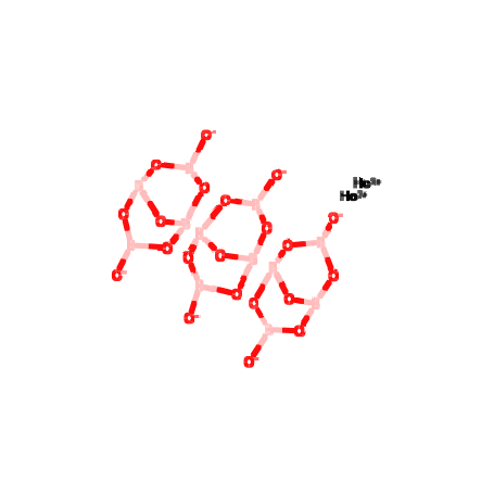 [Ho+3].[Ho+3].[O-]B1OB2OB([O-])OB(O1)O2.[O-]B1OB2OB([O-])OB(O1)O2.[O-]B1OB2OB([O-])OB(O1)O2